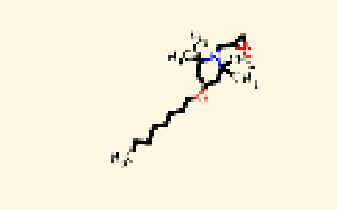 CCCCCCCCOC1CC(C)(C)N(CC2CO2)C(C)(C)C1